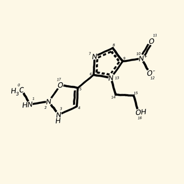 CNN1NC=C(c2ncc([N+](=O)[O-])n2CCO)O1